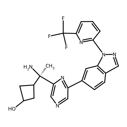 C[C@](N)(c1cncc(-c2ccc3cnn(-c4cccc(C(F)(F)F)n4)c3c2)n1)C1CC(O)C1